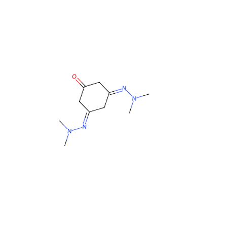 CN(C)N=C1CC(=O)CC(=NN(C)C)C1